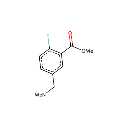 CNCc1ccc(F)c(C(=O)OC)c1